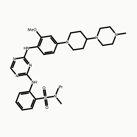 COc1cc(N2CCC(N3CCN(C)CC3)CC2)ccc1Nc1ncnc(Nc2ccccc2S(=O)(=O)N(C)C(C)C)n1